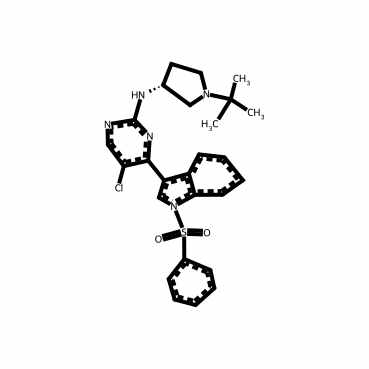 CC(C)(C)N1CC[C@@H](Nc2ncc(Cl)c(-c3cn(S(=O)(=O)c4ccccc4)c4ccccc34)n2)C1